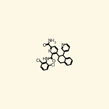 NC(=O)c1ccc(C2CCc3ccccc3C2c2cccnc2)c(C(=O)Nc2c(Cl)cccc2Cl)n1